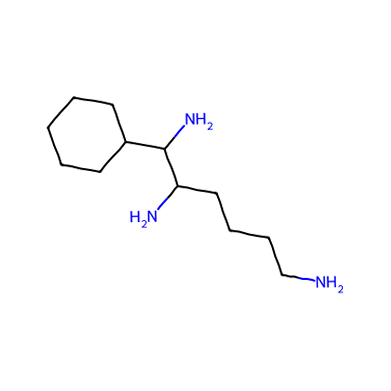 NCCCCC(N)C(N)C1CCCCC1